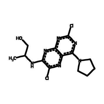 CC(CO)Nc1nc2nc(Cl)nc(N3CCCC3)c2nc1Cl